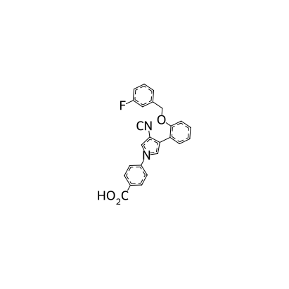 N#Cc1cn(-c2ccc(C(=O)O)cc2)cc1-c1ccccc1OCc1cccc(F)c1